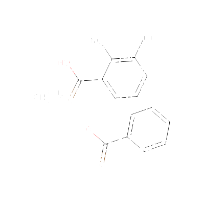 C.C.CC(C)c1cccc(C(O)=S)c1C#N.OC(=S)c1ccccc1